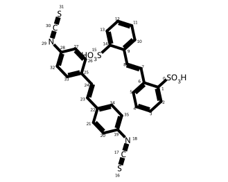 O=S(=O)(O)c1ccccc1C=Cc1ccccc1S(=O)(=O)O.S=C=Nc1ccc(C=Cc2ccc(N=C=S)cc2)cc1